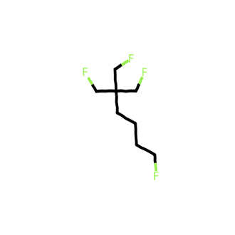 FCCCCC(CF)(CF)CF